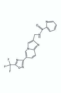 O=C(NCc1cn2cc(-c3noc(C(F)(F)F)n3)ccc2n1)c1ccccn1